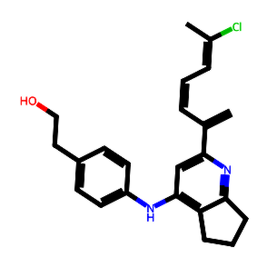 C=C(/C=C\C=C(/C)Cl)c1cc(Nc2ccc(CCO)cc2)c2c(n1)CCC2